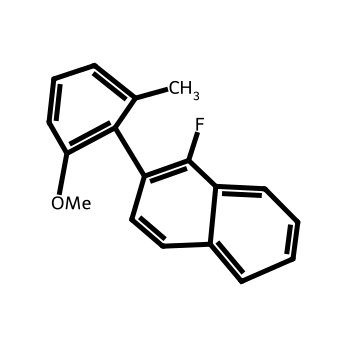 COc1cccc(C)c1-c1ccc2ccccc2c1F